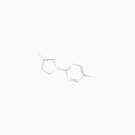 CC1CCN(c2ncc(Br)cn2)C1